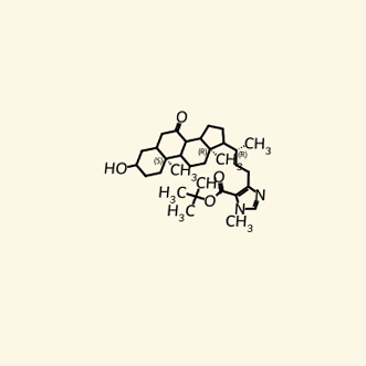 C[C@H](CCc1ncn(C)c1C(=O)OC(C)(C)C)C1CCC2C3C(=O)CC4CC(O)CC[C@]4(C)C3CC[C@@]21C